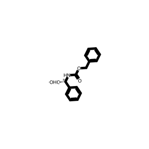 O=[C][C@H](NC(=O)OCc1ccccc1)c1ccccc1